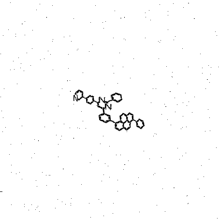 c1ccc(-c2nc(-c3ccc(-c4cccnc4)cc3)cc(-c3cccc(-c4ccc5ccc6c(-c7ccccc7)ccc7ccc4c5c76)c3)n2)cc1